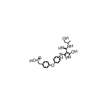 CC(CO)NC(=N)c1c(O)nsc1Nc1ccc(Oc2ccc(CS(=O)O)cc2)cc1